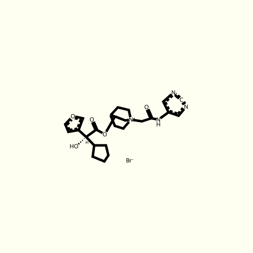 O=C(C[N+]12CCC(CC1)C(OC(=O)[C@](O)(c1ccoc1)C1CCCC1)C2)Nc1cncnc1.[Br-]